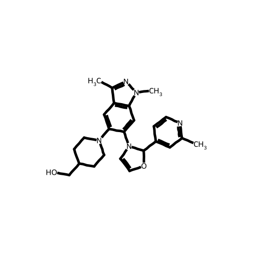 Cc1cc(C2OC=CN2c2cc3c(cc2N2CCC(CO)CC2)c(C)nn3C)ccn1